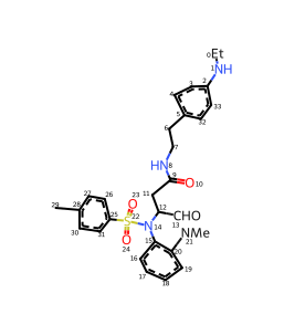 CCNc1ccc(CCNC(=O)CC(C=O)N(c2ccccc2NC)S(=O)(=O)c2ccc(C)cc2)cc1